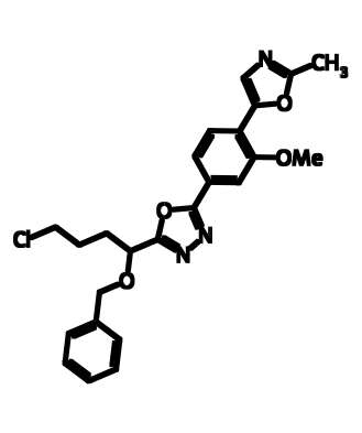 COc1cc(-c2nnc(C(CCCCl)OCc3ccccc3)o2)ccc1-c1cnc(C)o1